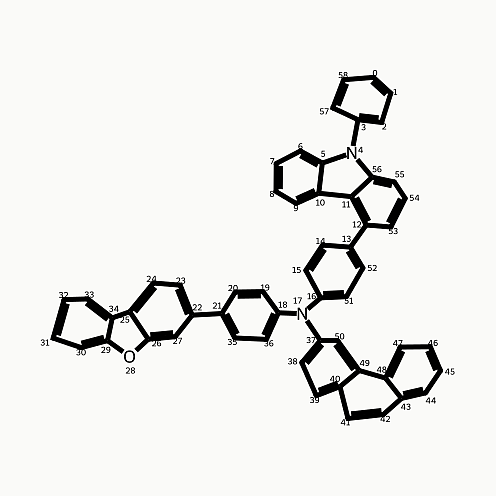 c1ccc(-n2c3ccccc3c3c(-c4ccc(N(c5ccc(-c6ccc7c(c6)oc6ccccc67)cc5)c5ccc6ccc7ccccc7c6c5)cc4)cccc32)cc1